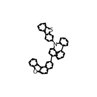 c1ccc(-c2ccccc2N(c2ccc(-c3ccc4ccc5oc6ccccc6c5c4c3)cc2)c2ccc3c(c2)sc2ccccc23)cc1